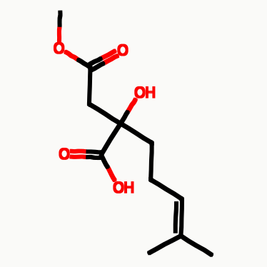 COC(=O)CC(O)(CCC=C(C)C)C(=O)O